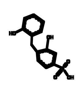 O=S(=O)(O)c1ccc(Cc2ccccc2O)c(O)c1